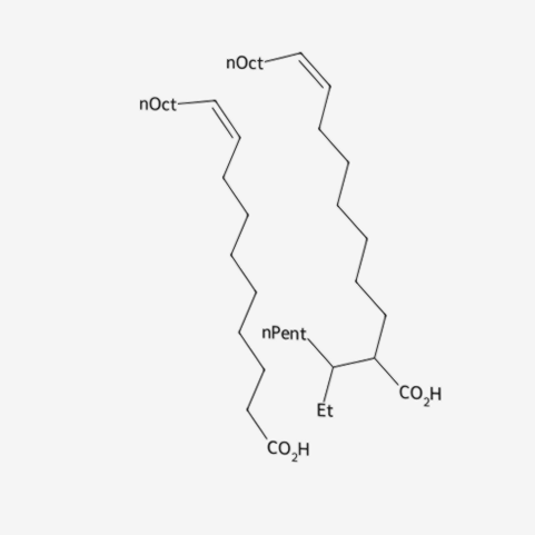 CCCCCCCC/C=C\CCCCCCC(C(=O)O)C(CC)CCCCC.CCCCCCCC/C=C\CCCCCCCC(=O)O